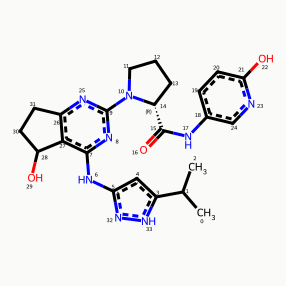 CC(C)c1cc(Nc2nc(N3CCC[C@@H]3C(=O)Nc3ccc(O)nc3)nc3c2C(O)CC3)n[nH]1